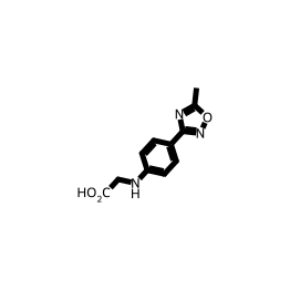 Cc1nc(-c2ccc(NCC(=O)O)cc2)no1